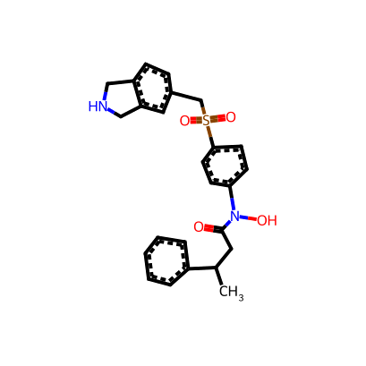 CC(CC(=O)N(O)c1ccc(S(=O)(=O)Cc2ccc3c(c2)CNC3)cc1)c1ccccc1